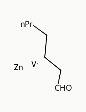 CCCCCCC=O.[V].[Zn]